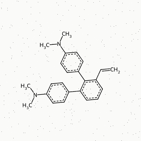 C=Cc1cccc(-c2ccc(N(C)C)cc2)c1-c1ccc(N(C)C)cc1